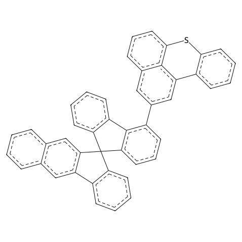 c1ccc2c(c1)Sc1cccc3cc(-c4cccc5c4-c4ccccc4C54c5ccccc5-c5cc6ccccc6cc54)cc-2c13